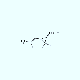 CCOC(=O)[C@@H]1[C@H](/C=C(\C)C(F)(F)F)C1(C)C